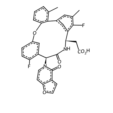 Cc1cc2cc(c1F)[C@@H](CC(=O)O)NC(=O)[C@@H](n1ccc3occc3c1=O)c1cc(ccc1F)Oc1cccc(C)c1-2